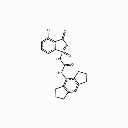 O=C(Nc1c2c(cc3c1CCC3)CCC2)NS1(=O)=NC(=O)c2c(Cl)cccc21